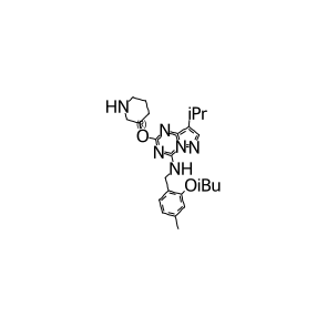 Cc1ccc(CNc2nc(O[C@@H]3CCCNC3)nc3c(C(C)C)cnn23)c(OCC(C)C)c1